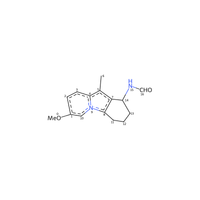 COc1ccc2c(C)c3c(n2c1)CCCC3NC=O